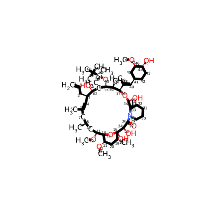 C=CC[C@@H]1/C=C(\C)C[C@H](C)C[C@H](OC)C2O[C@](O)([C@H](C)C[C@@H]2OC)[C@H](O)C(=O)N2CCCC[C@H]2[C@H](O)O[C@H](/C(C)=C/[C@@H]2CC[C@@H](O)[C@H](OC)C2)[C@H](C)[C@@H](O[Si](C)(C)C(C)(C)C)C[C@H]1O